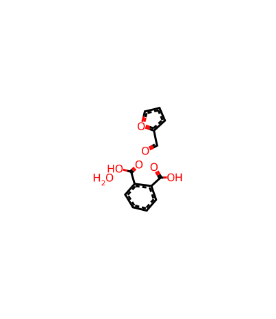 O.O=C(O)c1ccccc1C(=O)O.O=Cc1ccco1